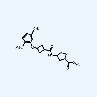 COc1ccc(C)cc1OC1CC(C(=O)NC2CCN(C(=O)OC(C)(C)C)C2)C1